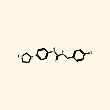 O=C(NCc1ccc(Cl)cc1)Nc1ccc([C@@H]2CCNC2)cc1